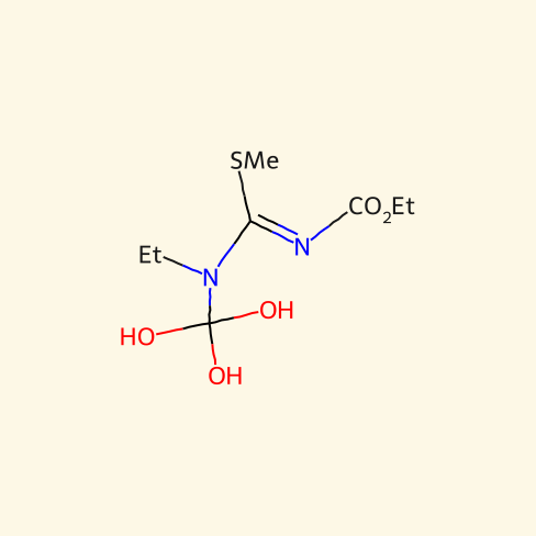 CCOC(=O)/N=C(\SC)N(CC)C(O)(O)O